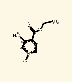 CCOC(=O)c1cc[n+]([O-])cc1C